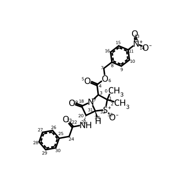 CC1(C)C(C(=O)OCc2ccc([N+](=O)[O-])cc2)N2C(=O)[C@@H](NC(=O)Cc3ccccc3)[C@H]2[S@@+]1[O-]